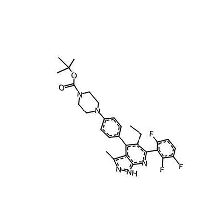 CCc1c(-c2c(F)ccc(F)c2F)nc2[nH]nc(C)c2c1-c1ccc(N2CCN(C(=O)OC(C)(C)C)CC2)cc1